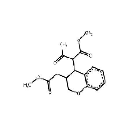 COC(=O)CC1COc2ccccc2C1C(C(C)=O)C(=O)OC